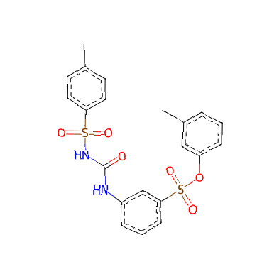 Cc1ccc(S(=O)(=O)NC(=O)Nc2cccc(S(=O)(=O)Oc3cccc(C)c3)c2)cc1